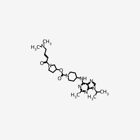 Cc1nc(NC2CCN(C(=O)OC3CCN(C(=O)C=CCN(C)C)C3)CC2)c2ncn(C(C)C)c2n1